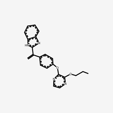 C=C(c1ccc(Oc2nccnc2OCCC)cc1)c1nc2ccccc2[nH]1